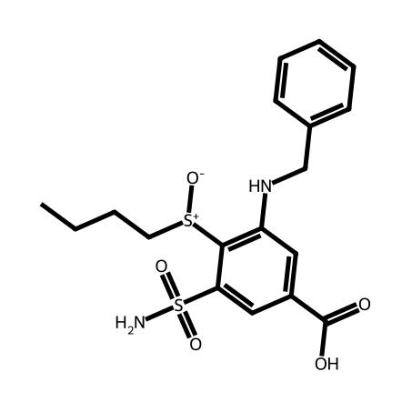 CCCC[S+]([O-])c1c(NCc2ccccc2)cc(C(=O)O)cc1S(N)(=O)=O